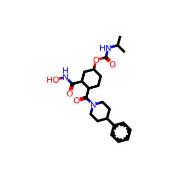 CC(C)NC(=O)OC1CCC(C(=O)N2CCC(c3ccccc3)CC2)C(C(=O)NO)C1